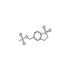 CS(=O)(=O)OCc1ccc2c(c1)CCS2(=O)=O